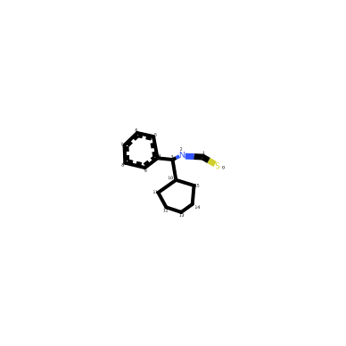 S=C=N[C](c1ccccc1)C1CCCCC1